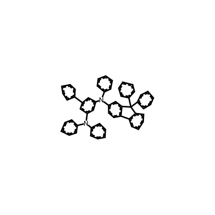 c1ccc(-c2cc(N(c3ccccc3)c3ccccc3)cc(N(c3ccccc3)c3ccc4c(c3)C(c3ccccc3)(c3ccccc3)c3ccccc3-4)c2)cc1